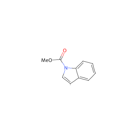 COC(=O)n1c[c]c2ccccc21